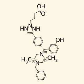 C[C@@H]1CN([C@H](c2ccc(C3=CNN(CCCC(=O)O)N3)cc2)c2cccc(O)c2)[C@@H](C)CN1Cc1ccccc1